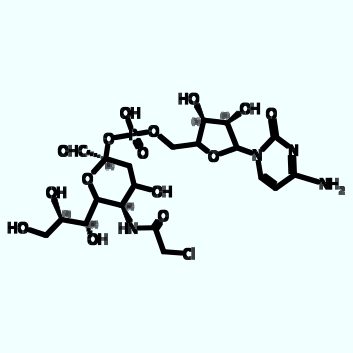 Nc1ccn(C2OC(COP(=O)(O)O[C@@]3(C=O)CC(O)[C@@H](NC(=O)CCl)C([C@H](O)[C@H](O)CO)O3)[C@@H](O)[C@H]2O)c(=O)n1